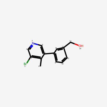 Cc1c(Br)cncc1-c1cccc(CO)c1